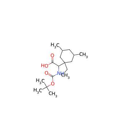 CCC1(C(NC(=O)OC(C)(C)C)C(=O)O)CC(C)CC(C)C1